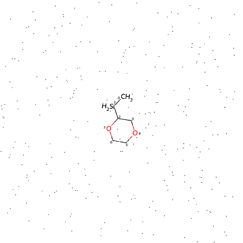 C[SiH2]C1COCCO1